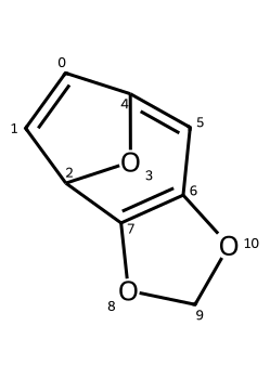 C1=CC2OC1=CC1=C2OCO1